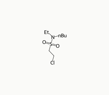 CCCCN(CC)S(=O)(=O)CCCl